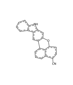 N#Cc1ccc2c3c(cccc13)-c1cc3c(cc1O2)[nH]c1ccccc13